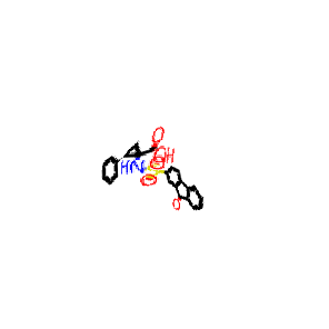 O=C1c2ccccc2-c2ccc(S(=O)(=O)NC3(C(=O)O)C[C@H]3c3ccccc3)cc21